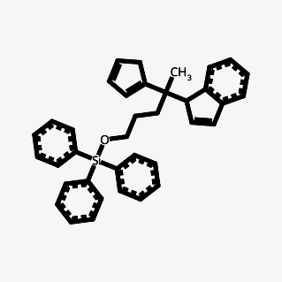 CC(CCCO[Si](c1ccccc1)(c1ccccc1)c1ccccc1)(C1=CC=CC1)C1C=Cc2ccccc21